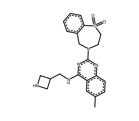 Cc1ccc2nc(N3CCS(=O)(=O)c4ccccc4C3)nc(NCC3CNC3)c2c1